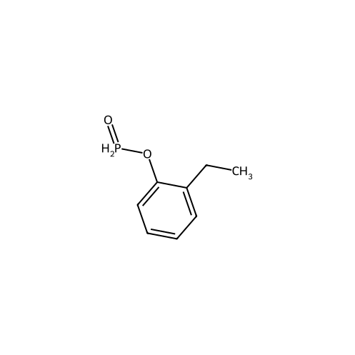 CCc1ccccc1O[PH2]=O